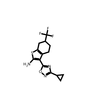 Nc1sc2c(c1-c1nc(C3CC3)no1)CCC(C(F)(F)F)C2